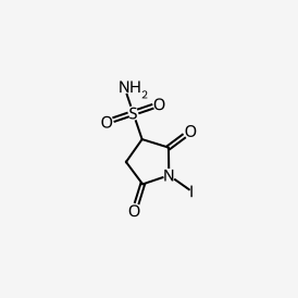 NS(=O)(=O)C1CC(=O)N(I)C1=O